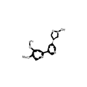 CCCOc1cc(-c2cncc([C@@H]3COB(O)C3)c2)ncc1OC